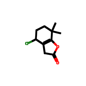 CC1(C)CCC(Cl)C2=C1OC(=O)C2